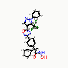 CC(C(=O)NO)(c1ccc(-c2noc(-c3cnn(-c4ccccc4)c3C(F)(F)F)n2)cc1)C1CCCCC1